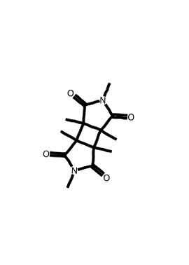 CN1C(=O)C2(C)C(C)(C1=O)C1(C)C(=O)N(C)C(=O)C21C